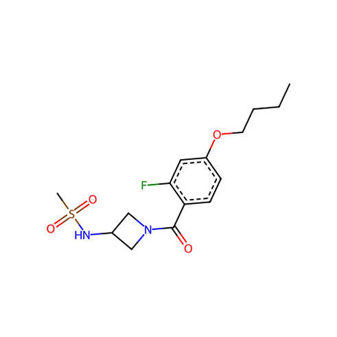 CCCCOc1ccc(C(=O)N2CC(NS(C)(=O)=O)C2)c(F)c1